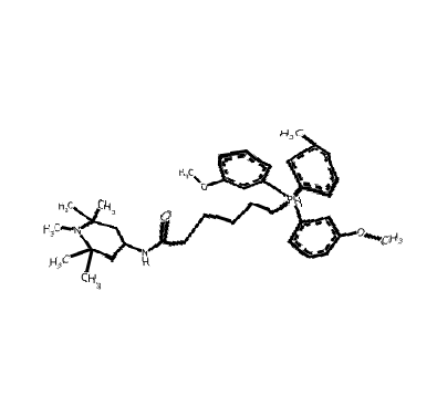 COc1cccc([PH](CCCCCC(=O)NC2CC(C)(C)N(C)C(C)(C)C2)(c2cccc(C)c2)c2cccc(OC)c2)c1